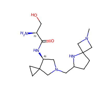 CN1CC2(CCC(CN3C[C@H](NC(=O)[C@@H](N)CO)C4(CC4)C3)N2)C1